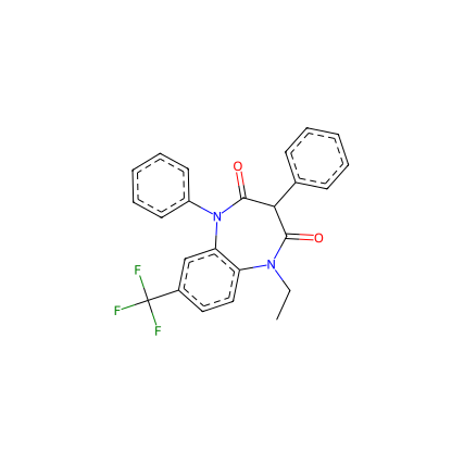 CCN1C(=O)C(c2ccccc2)C(=O)N(c2ccccc2)c2cc(C(F)(F)F)ccc21